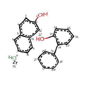 Cl.Oc1ccc2ccccc2c1.Oc1ccccc1-c1ccccc1.[Zr]